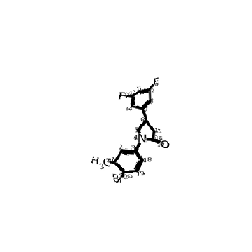 Cc1cc(N2CC(c3cc(F)cc(F)c3)CC2=O)ccc1Br